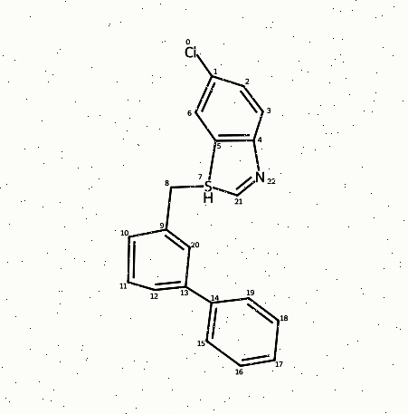 Clc1ccc2c(c1)[SH](Cc1cccc(-c3ccccc3)c1)C=N2